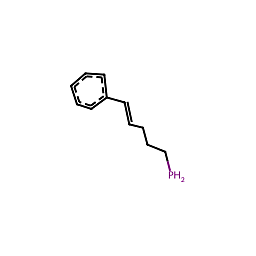 PCCCC=Cc1ccccc1